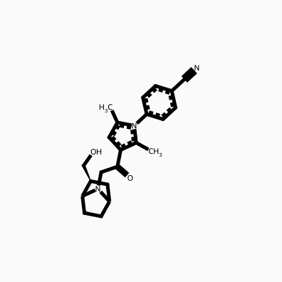 Cc1cc(C(=O)CN2C3CCC2[C@@H](CO)C3)c(C)n1-c1ccc(C#N)cc1